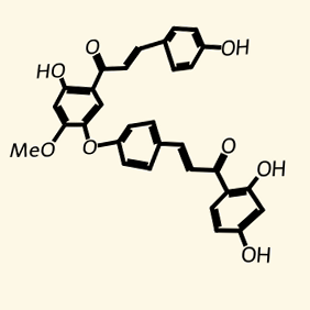 COc1cc(O)c(C(=O)C=Cc2ccc(O)cc2)cc1Oc1ccc(C=CC(=O)c2ccc(O)cc2O)cc1